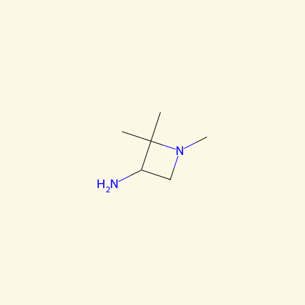 CN1CC(N)C1(C)C